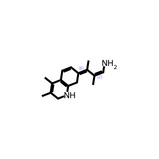 CC1=C(C)C2=C(C/C(=C(C)\C(C)=C/N)C=C2)NC1